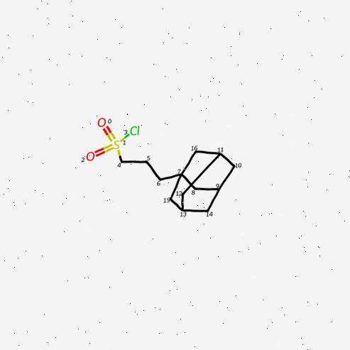 O=S(=O)(Cl)CCCC12CC3CC(CC(C3)C1)C2